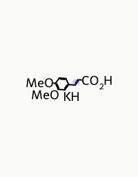 COc1ccc(/C=C/C(=O)O)cc1OC.[KH]